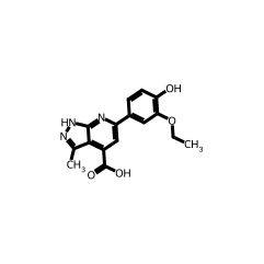 CCOc1cc(-c2cc(C(=O)O)c3c(C)n[nH]c3n2)ccc1O